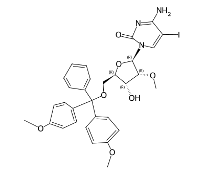 COc1ccc(C(OC[C@H]2O[C@@H](n3cc(I)c(N)nc3=O)[C@H](OC)[C@@H]2O)(c2ccccc2)c2ccc(OC)cc2)cc1